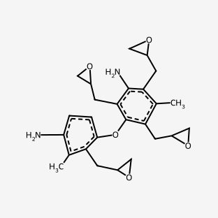 Cc1c(N)ccc(Oc2c(CC3CO3)c(C)c(CC3CO3)c(N)c2CC2CO2)c1CC1CO1